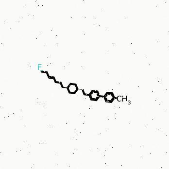 Cc1ccc(-c2ccc(CC[C@H]3CC[C@H](CCCC=CCCF)CC3)cc2)cc1